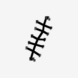 NC(F)(F)C(F)(F)C(F)(F)C(F)(F)C(F)(F)C(F)(F)F